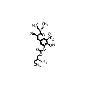 CCC(N)COC(=O)Oc1cc(C=C(C#N)C(=O)N(CC)CC)cc([N+](=O)[O-])c1O